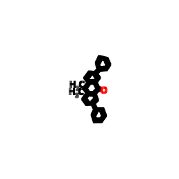 CC1(C)c2ccc(-c3ccccc3)cc2C(=O)c2cc(-c3ccccc3)ccc21